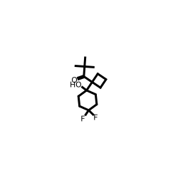 CC(C)(C)C(=O)C1(C2(O)CCC(F)(F)CC2)CCC1